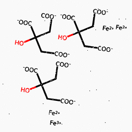 O=C([O-])CC(O)(CC(=O)[O-])C(=O)[O-].O=C([O-])CC(O)(CC(=O)[O-])C(=O)[O-].O=C([O-])CC(O)(CC(=O)[O-])C(=O)[O-].[Fe+2].[Fe+2].[Fe+2].[Fe+3]